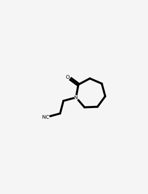 N#CCCN1CCCCCC1=O